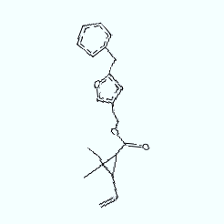 C=CC1C(C(=O)OCc2coc(Cc3ccccc3)c2)C1(C)C